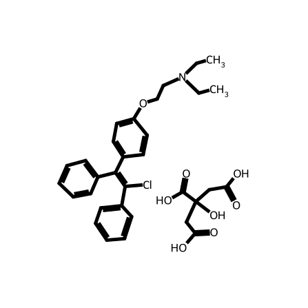 CCN(CC)CCOc1ccc(C(=C(Cl)c2ccccc2)c2ccccc2)cc1.O=C(O)CC(O)(CC(=O)O)C(=O)O